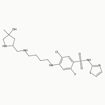 CC1(O)CNC(CNCCCCNc2cc(F)c(S(=O)(=O)Nc3nccs3)cc2Cl)C1